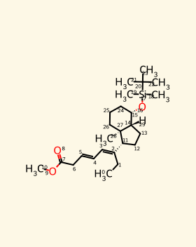 CCC(=CC=CCC(=O)OC)[C@H]1CC[C@H]2[C@@H](O[Si](C)(C)C(C)(C)C)CCC[C@]12C